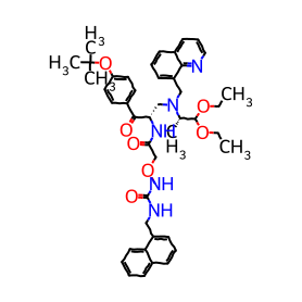 CCOC(OCC)[C@H](C)N(Cc1cccc2cccnc12)C[C@H](NC(=O)CONC(=O)NCc1cccc2ccccc12)C(=O)c1ccc(OC(C)(C)C)cc1